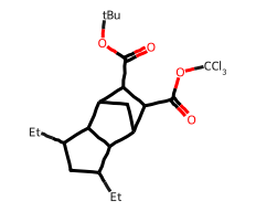 CCC1CC(CC)C2C3CC(C(C(=O)OC(C)(C)C)C3C(=O)OC(Cl)(Cl)Cl)C12